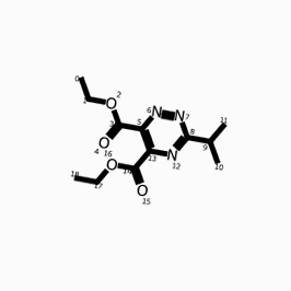 CCOC(=O)c1nnc(C(C)C)nc1C(=O)OCC